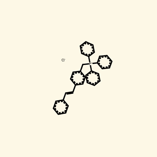 C(=C\c1ccc(C[P+](c2ccccc2)(c2ccccc2)c2ccccc2)cc1)/c1ccccc1.[Cl-]